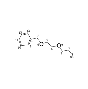 ICCOCCOCc1ccccc1